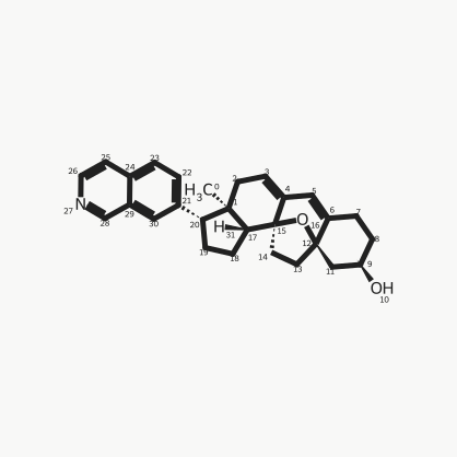 C[C@]12CC=C3C=C4CC[C@@H](O)C[C@]45CC[C@]3(O5)[C@@H]1CC[C@@H]2c1ccc2ccncc2c1